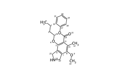 CCCCOc1c2c(c(OC)c(C)c1C(=O)Oc1ccccc1)CNC2